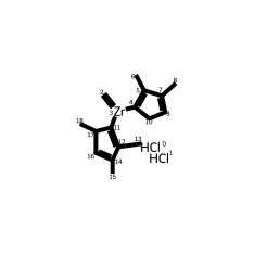 Cl.Cl.[CH2]=[Zr]([C]1=C(C)C(C)=CC1)[C]1=C(C)C(C)=CC1C